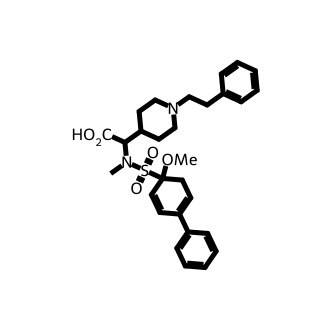 COC1(S(=O)(=O)N(C)C(C(=O)O)C2CCN(CCc3ccccc3)CC2)C=CC(c2ccccc2)=CC1